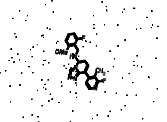 COc1cccc(F)c1CNc1ccc(-c2ccnc(F)c2C)c2nncn12